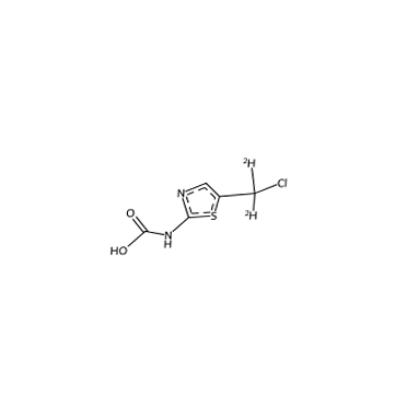 [2H]C([2H])(Cl)c1cnc(NC(=O)O)s1